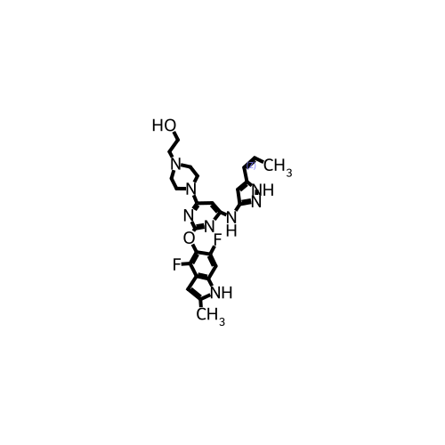 C/C=C\c1cc(Nc2cc(N3CCN(CCO)CC3)nc(Oc3c(F)cc4[nH]c(C)cc4c3F)n2)n[nH]1